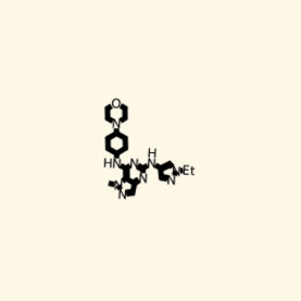 CCn1cc(Nc2nc(NC3CCC(N4CCOCC4)CC3)c3c(cnn3C)n2)cn1